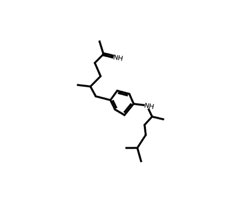 CC(=N)CCC(C)Cc1ccc(NC(C)CCC(C)C)cc1